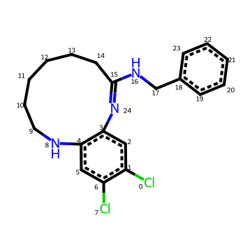 Clc1cc2c(cc1Cl)NCCCCCC/C(NCc1ccccc1)=N\2